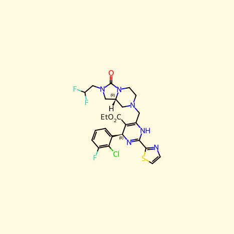 CCOC(=O)C1=C(CN2CCN3C(=O)N(CC(F)F)C[C@H]3C2)NC(c2nccs2)=N[C@H]1c1cccc(F)c1Cl